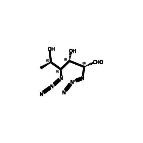 C[C@@H](O)[C@H](N=[N+]=[N-])[C@H](O)[C@H](C=O)N=[N+]=[N-]